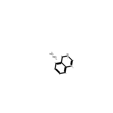 C1=Nc2ccccc2CN1.Cl.Cl